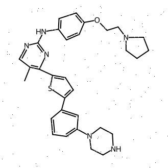 Cc1cnc(Nc2ccc(OCCN3CCCC3)cc2)nc1-c1ccc(-c2cccc(N3CCNCC3)c2)s1